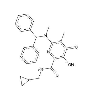 CN(c1nc(C(=O)NCC2CC2)c(O)c(=O)n1C)C(c1ccccc1)c1ccccc1